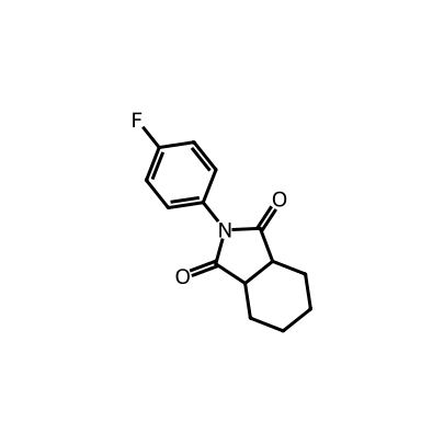 O=C1C2CCCCC2C(=O)N1c1ccc(F)cc1